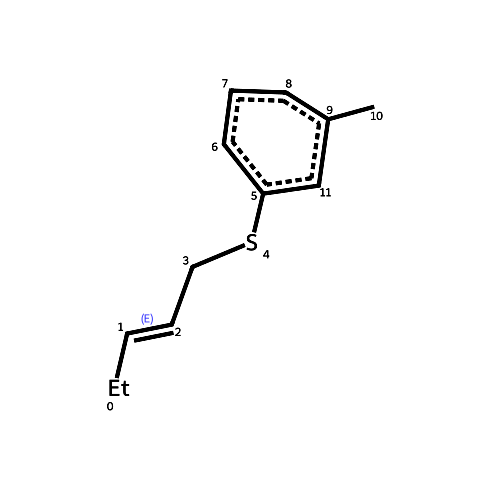 CC/C=C/CSc1cccc(C)c1